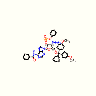 COc1ccc(C(OC[C@H]2O[C@@H](n3cnc4c(NC(=O)c5ccccc5)ncnc43)[C@H](O[PH](=O)Oc3ccccc3)[C@@H]2N=[N+]=[N-])(c2ccccc2)c2ccc(OC)cc2)cc1